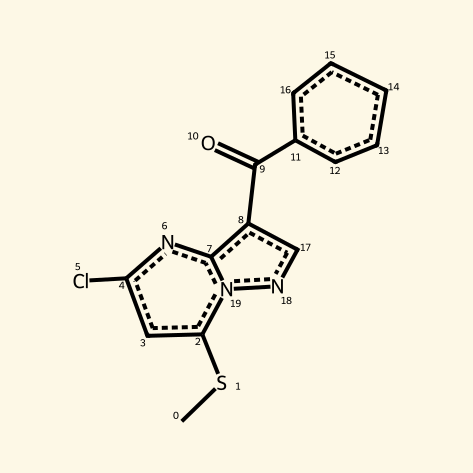 CSc1cc(Cl)nc2c(C(=O)c3ccccc3)cnn12